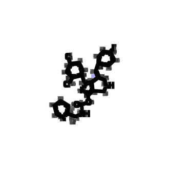 C[C@@H](NC(=O)Oc1nn(-c2ccc(Cl)cc2Cl)c2c1CNC/C2=C\c1ccc(F)cc1)c1ccccn1